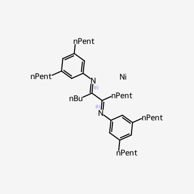 CCCCCC(=N\c1cc(CCCCC)cc(CCCCC)c1)/C(CCCC)=N/c1cc(CCCCC)cc(CCCCC)c1.[Ni]